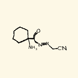 N#CCN=NC(=O)C1(N)CCCCC1